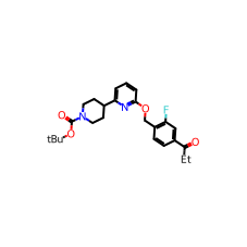 CCC(=O)c1ccc(COc2cccc(C3CCN(C(=O)OC(C)(C)C)CC3)n2)c(F)c1